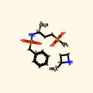 CS(=O)(=O)CC[C@H](NS(=O)(=O)Cc1ccccc1)C(=O)O.O=C(O)C1CCN1